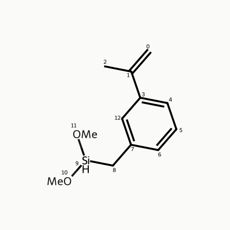 C=C(C)c1cccc(C[SiH](OC)OC)c1